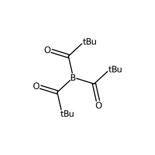 CC(C)(C)C(=O)B(C(=O)C(C)(C)C)C(=O)C(C)(C)C